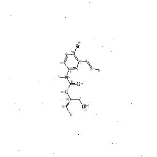 C/C=C/c1cc(N(C)C(=O)O[C@H](CC)CO)ccc1Br